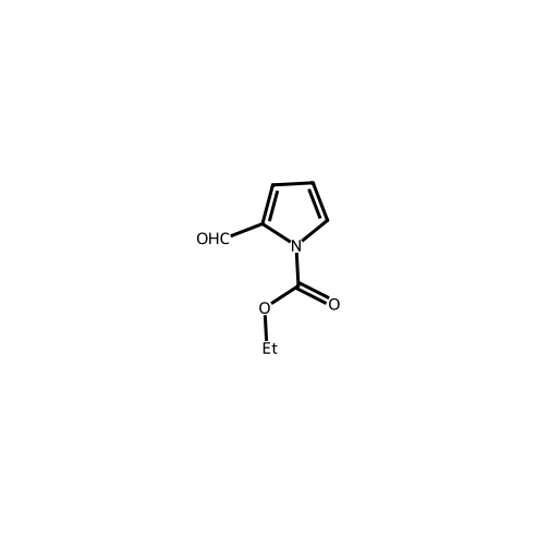 CCOC(=O)n1cccc1C=O